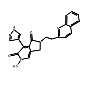 Cn1cc2c(c(-c3cn[nH]c3)c1=O)C(=O)N(CCc1ccc3ccccc3n1)C2